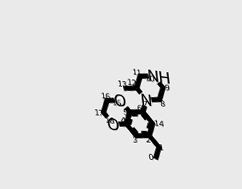 CCc1cc2c(c(N3CCNCC3C)c1)OCCO2